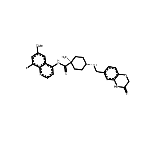 COc1cc(F)c2nccc(NC(=O)[C@]3(C)CC[C@@H](NCc4ccc5c(n4)NC(=O)CS5)CC3)c2c1